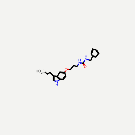 O=C(O)CCc1c[nH]c2ccc(OCCCNC(=O)NCc3ccccc3)cc12